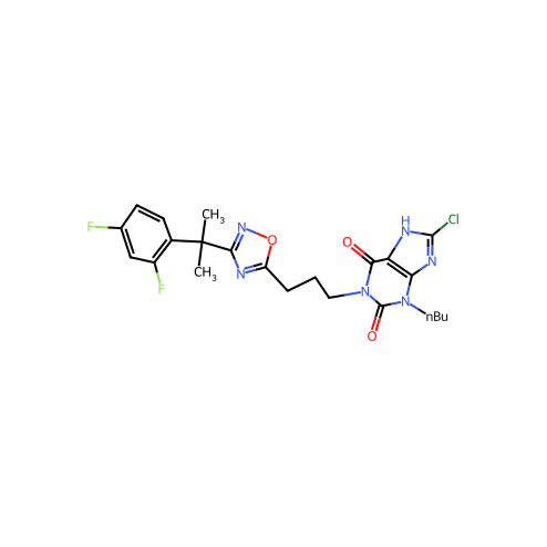 CCCCn1c(=O)n(CCCc2nc(C(C)(C)c3ccc(F)cc3F)no2)c(=O)c2[nH]c(Cl)nc21